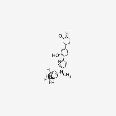 CN(c1ccc(-c2ccc(C3CCNC(=O)C3)cc2O)nn1)[C@H]1C[C@@H]2CC(F)(F)[C@H](C1)N2